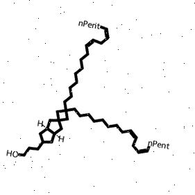 CCCCC/C=C\C/C=C\CCCCCCCCC1(CCCCCCCC/C=C\C/C=C\CCCCC)CC2(C[C@H]3CC(CCCO)C[C@H]3C2)C1